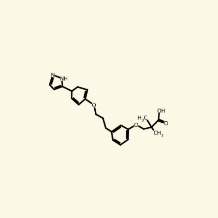 CC(C)(COc1cccc(CCCOC2=CCC(c3ccn[nH]3)C=C2)c1)C(=O)O